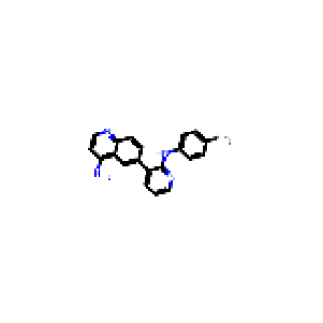 Nc1ccnc2ccc(-c3cccnc3Nc3ccc(C(F)(F)F)cc3)cc12